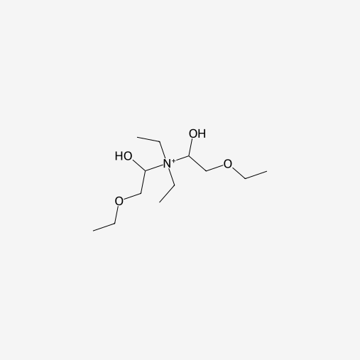 CCOCC(O)[N+](CC)(CC)C(O)COCC